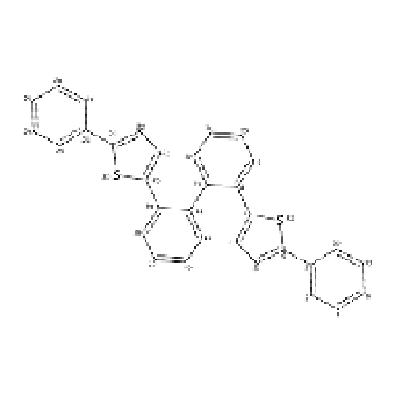 c1ccc(-c2ccc(-c3ccccc3-c3ccccc3-c3ccc(-c4ccccc4)s3)s2)cc1